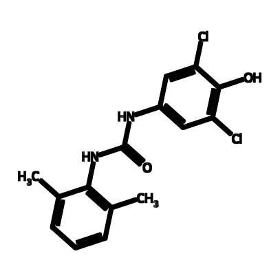 Cc1cccc(C)c1NC(=O)Nc1cc(Cl)c(O)c(Cl)c1